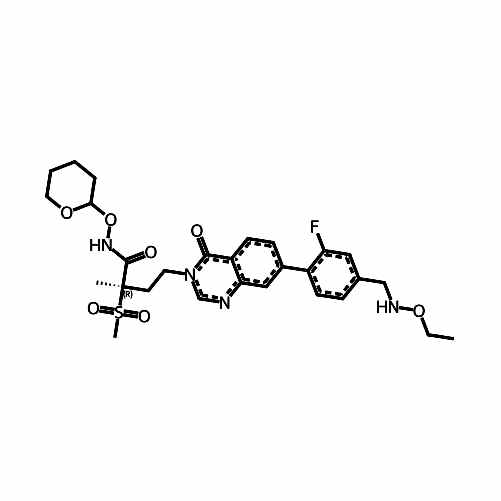 CCONCc1ccc(-c2ccc3c(=O)n(CC[C@](C)(C(=O)NOC4CCCCO4)S(C)(=O)=O)cnc3c2)c(F)c1